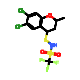 CC1CC(SNS(=O)(=O)C(F)(F)F)c2cc(Cl)c(Cl)cc2O1